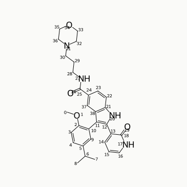 COc1ccc(C(C)C)cc1-c1c(-c2ccc[nH]c2=O)[nH]c2ccc(C(=O)NCCCN3CCOCC3)cc12